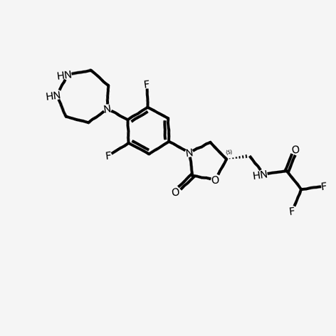 O=C(NC[C@H]1CN(c2cc(F)c(N3CCNNCC3)c(F)c2)C(=O)O1)C(F)F